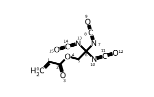 C=CC(=O)OCC(N=C=O)(N=C=O)N=C=O